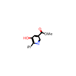 COC(=O)c1cnc(C(C)C)c(O)c1